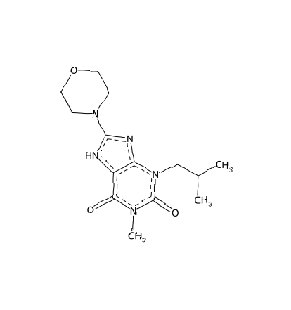 CC(C)Cn1c(=O)n(C)c(=O)c2[nH]c(N3CCOCC3)nc21